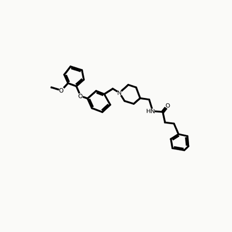 COc1ccccc1Oc1cccc(CN2CCC(CNC(=O)CCc3ccccc3)CC2)c1